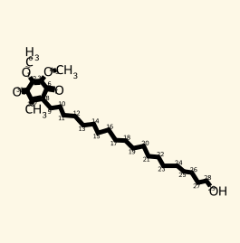 COC1=C(OC)C(=O)C(CCCCCCCCCCCCCCCCCCCCO)=C(C)C1=O